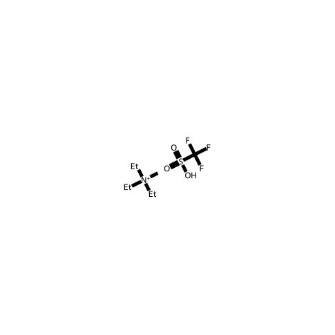 CC[N+](C)(CC)CC.O=S(=O)(O)C(F)(F)F